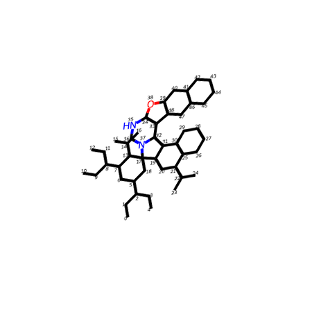 CCC(CC)C1CC(C(CC)CC)C(C(C)C)C2(C1)C1CC(C(C)C)C3CCCCC3C1C1C3C(NCN12)OC1CC2CCCCC2CC13